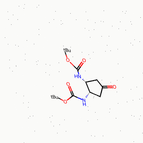 CC(C)(C)OC(=O)N[C@H]1CC(=O)C[C@H]1NC(=O)OC(C)(C)C